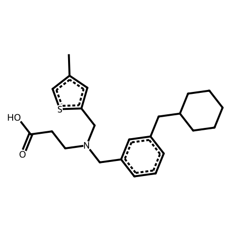 Cc1csc(CN(CCC(=O)O)Cc2cccc(CC3CCCCC3)c2)c1